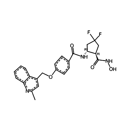 Cc1cc(COc2ccc(C(=O)N[C@@H]3CC(F)(F)C[C@H]3C(=O)NO)cc2)c2ccccc2n1